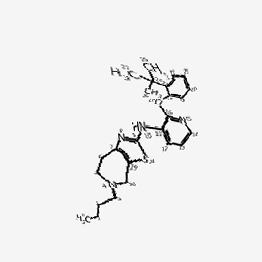 CCCCN1CCc2nc(Nc3cccnc3Oc3ccccc3C(C)(C)C)sc2C1